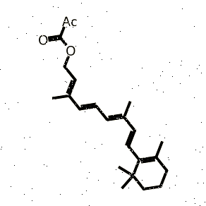 CC(=O)C(=O)OCC=C(C)C=CC=C(C)C=CC1=C(C)CCCC1(C)C